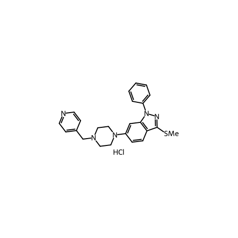 CSc1nn(-c2ccccc2)c2cc(N3CCN(Cc4ccncc4)CC3)ccc12.Cl